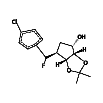 CC1(C)O[C@@H]2[C@H](O1)[C@@H](C(F)c1ccc(Cl)cc1)C[C@@H]2O